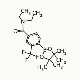 CCN(CC)C(=O)c1ccc(B2OC(C)(C)C(C)(C)O2)c(C(F)(F)F)c1